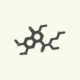 CCN(CCOC)C(=O)c1cn(CC)c(=O)c2cc(OC)c(OC)cc12